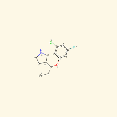 CC(C)C[C@@H](Oc1cc(F)cc(Cl)c1)C1CCNC1